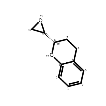 c1ccc2c(c1)CC[C@@H](C1CO1)O2